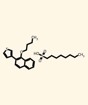 CCCCCCCCS(=O)(=O)O.CCCCOc1c(-c2ccsc2)ccc2ccccc12